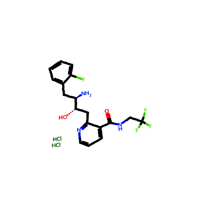 Cl.Cl.N[C@H](Cc1ccccc1F)[C@@H](O)Cc1ncccc1C(=O)NCC(F)(F)F